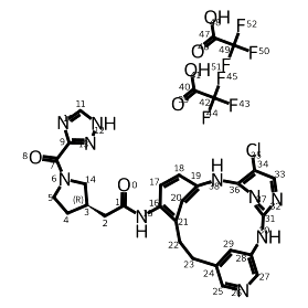 O=C(C[C@H]1CCN(C(=O)c2nc[nH]n2)C1)Nc1ccc2cc1CCc1cncc(c1)Nc1ncc(Cl)c(n1)N2.O=C(O)C(F)(F)F.O=C(O)C(F)(F)F